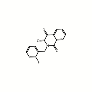 O=C1C(=O)N(Cc2ccccc2F)C(=O)c2ccccc21